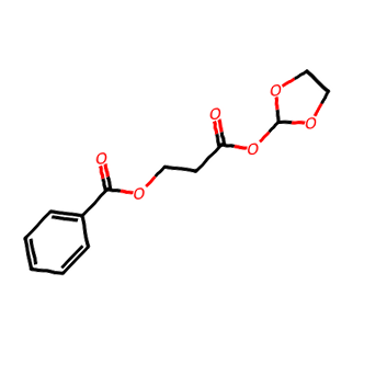 O=C(CCOC(=O)c1ccccc1)OC1OCCO1